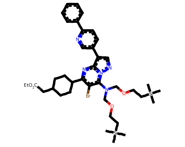 CCOC(=O)CC1CCC(c2nc3c(-c4ccc(-c5ccccc5)nc4)cnn3c(N(COCC[Si](C)(C)C)COCC[Si](C)(C)C)c2Br)CC1